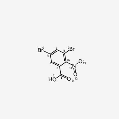 O=C(O)c1cc(Br)cc(Br)c1[N+](=O)[O-]